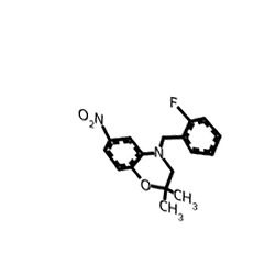 CC1(C)CN(Cc2ccccc2F)c2cc([N+](=O)[O-])ccc2O1